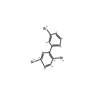 Brc1cccc(-c2cc(Br)ccc2Br)c1